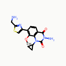 COc1c(-c2csc(CN)n2)ccc2c(=O)n(N)c(=O)n(C3CC3)c12